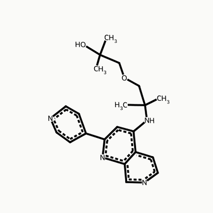 CC(C)(O)COCC(C)(C)Nc1cc(-c2ccncc2)nc2cnccc12